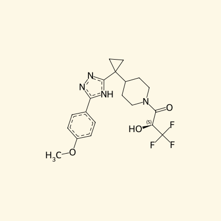 COc1ccc(-c2nnc(C3(C4CCN(C(=O)[C@H](O)C(F)(F)F)CC4)CC3)[nH]2)cc1